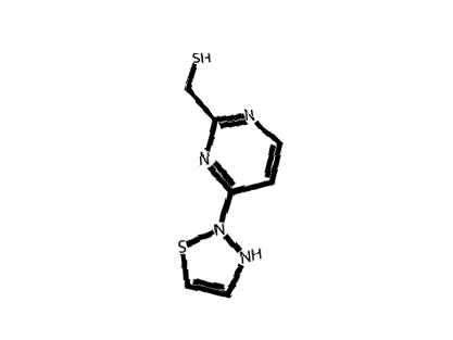 SCc1nccc(N2NC=CS2)n1